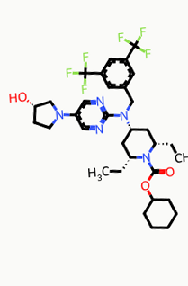 CC[C@@H]1C[C@H](N(Cc2cc(C(F)(F)F)cc(C(F)(F)F)c2)c2ncc(N3CC[C@H](O)C3)cn2)C[C@H](CC)N1C(=O)OC1CCCCC1